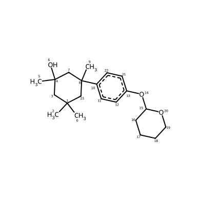 CC1(C)CC(C)(O)CC(C)(c2ccc(OC3CCCCO3)cc2)C1